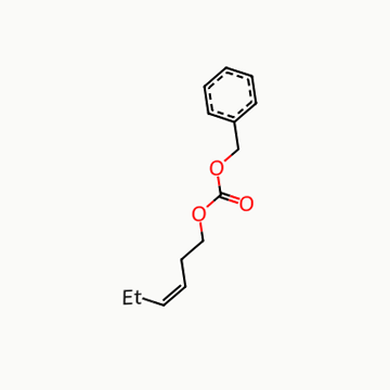 CC/C=C\CCOC(=O)OCc1ccccc1